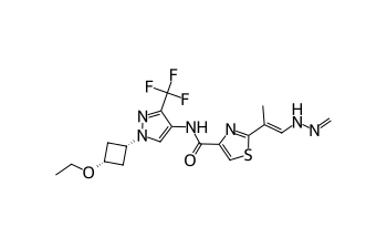 C=NN/C=C(\C)c1nc(C(=O)Nc2cn([C@H]3C[C@@H](OCC)C3)nc2C(F)(F)F)cs1